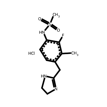 Cc1c(CC2=NCCN2)ccc(NS(C)(=O)=O)c1F.Cl